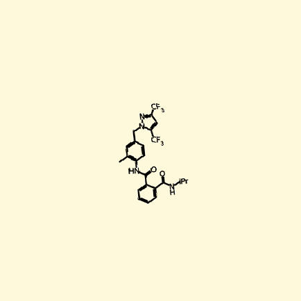 Cc1cc(Cn2nc(C(F)(F)F)cc2C(F)(F)F)ccc1NC(=O)c1ccccc1C(=O)NC(C)C